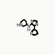 c1cncc(-c2nccnc2N[C@@H]2CCCNC2)c1